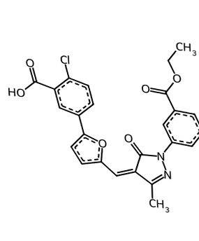 CCOC(=O)c1cccc(N2N=C(C)C(=Cc3ccc(-c4ccc(Cl)c(C(=O)O)c4)o3)C2=O)c1